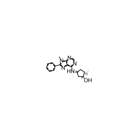 C[C@H]1C[C@@H](Nc2ncnc3c2nc(-c2ccccc2)n3C)C[C@H]1O